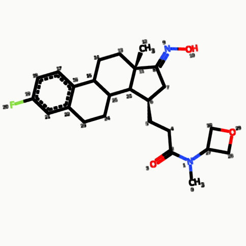 CN(C(=O)CC[C@@H]1C/C(=N\O)[C@@]2(C)CCC3c4ccc(F)cc4CCC3C12)C1COC1